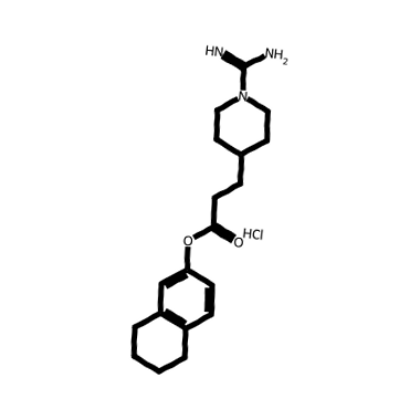 Cl.N=C(N)N1CCC(CCC(=O)Oc2ccc3c(c2)CCCC3)CC1